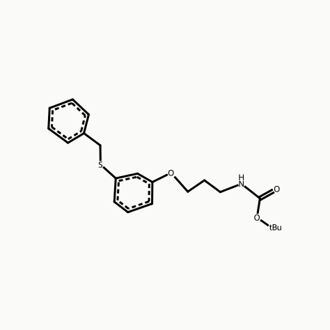 CC(C)(C)OC(=O)NCCCOc1cccc(SCc2ccccc2)c1